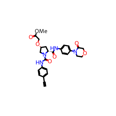 C#Cc1ccc(NC(=O)N2C[C@H](OCC(=O)OC)C[C@@H]2C(=O)Nc2ccc(N3CCOCC3=O)cc2)cc1